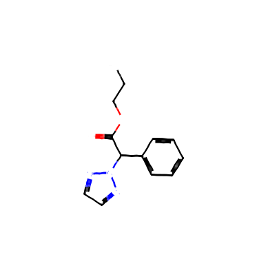 CCCCCCCCCCCCOC(=O)C(c1ccccc1)n1nccn1